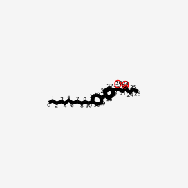 CCCCCCCCCCCC1CCC(c2ccc(C(=O)CC(=O)CCC)cc2)CC1